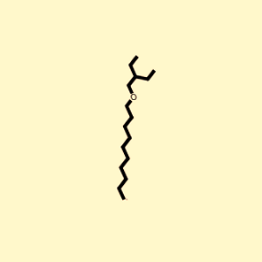 [CH2]CCCCCCCCCOCC(CC)CC